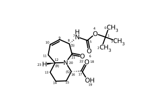 CC(C)(C)OC(=O)N[C@H]1C=CC[C@H]2CCC[C@@H](C(=O)O)N2C1=O